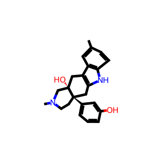 Cc1ccc2[nH]c3c(c2c1)C[C@]1(O)CN(C)CC[C@@]1(c1cccc(O)c1)C3